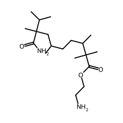 CC(CCC(C)C(C)(C)C(=O)OCCN)CC(C)(C(N)=O)C(C)C